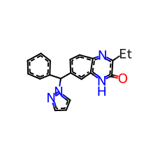 CCc1nc2ccc(C(c3ccccc3)n3cccn3)cc2[nH]c1=O